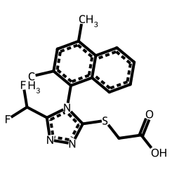 Cc1cc(C)c2ccccc2c1-n1c(SCC(=O)O)nnc1C(F)F